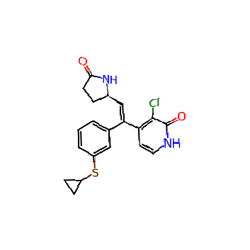 O=C1CC[C@H](/C=C(\c2cccc(SC3CC3)c2)c2cc[nH]c(=O)c2Cl)N1